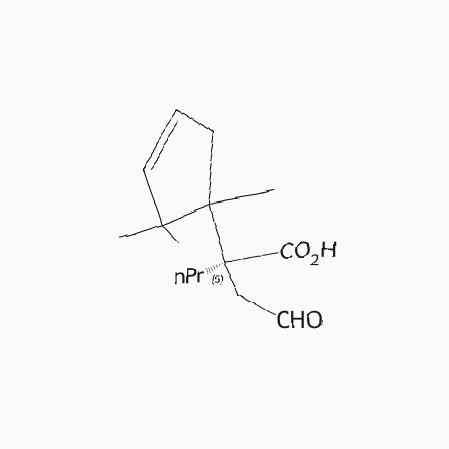 CCC[C@@](CC=O)(C(=O)O)C1(C)CC=CC1(C)C